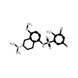 COc1ccc(NS(=O)(=O)c2cc(F)cc(Cl)c2C)c2c1C[C@@H](N(C)C)CC2